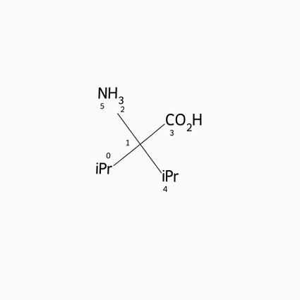 CC(C)C(C)(C(=O)O)C(C)C.N